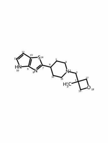 CC1(CN2CCC(c3nc4[nH]ccc4s3)CC2)COC1